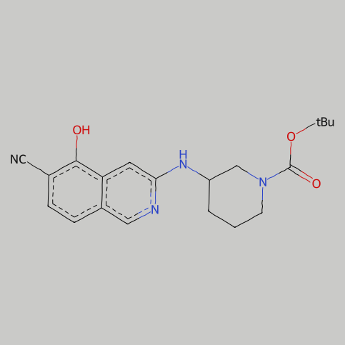 CC(C)(C)OC(=O)N1CCCC(Nc2cc3c(O)c(C#N)ccc3cn2)C1